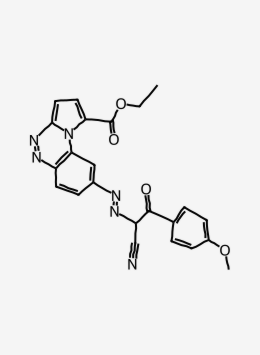 CCOC(=O)c1ccc2nnc3ccc(/N=N/C(C#N)C(=O)c4ccc(OC)cc4)cc3n12